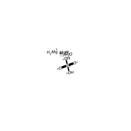 O.O.O=S(=O)(O)O.[MgH2].[MgH2]